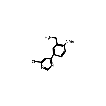 CNc1ccc(-c2cc(Cl)ncn2)cc1CN